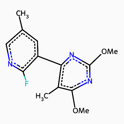 COc1nc(OC)c(C)c(-c2cc(C)cnc2F)n1